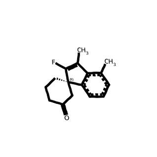 CC1=C(F)[C@@]2(CCCC(=O)C2)c2cccc(C)c21